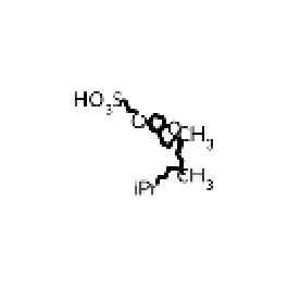 CC(C)CCCC(C)CC=CC1(C)CCc2cc(OCCCS(=O)(=O)O)ccc2O1